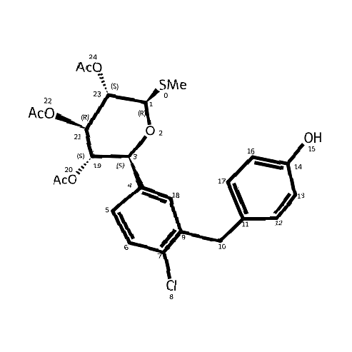 CS[C@H]1O[C@@H](c2ccc(Cl)c(Cc3ccc(O)cc3)c2)[C@H](OC(C)=O)[C@@H](OC(C)=O)[C@@H]1OC(C)=O